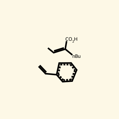 C=Cc1ccccc1.CC=C(CCCC)C(=O)O